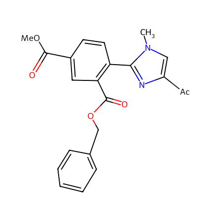 COC(=O)c1ccc(-c2nc(C(C)=O)cn2C)c(C(=O)OCc2ccccc2)c1